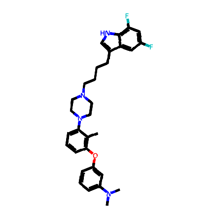 Cc1c(Oc2cccc(N(C)C)c2)cccc1N1CCN(CCCCc2c[nH]c3c(F)cc(F)cc23)CC1